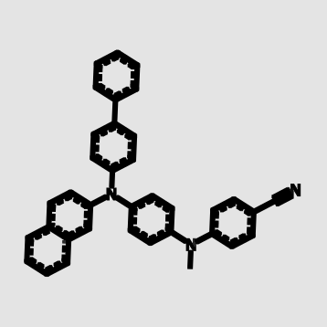 CN(c1ccc(C#N)cc1)c1ccc(N(c2ccc(-c3ccccc3)cc2)c2ccc3ccccc3c2)cc1